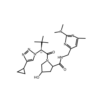 Cc1cc(CNC(=O)C2CC(O)CN2C(=O)[C@@H](n2cc(C3CC3)nn2)C(C)(C)C)nc(N(C)C)n1